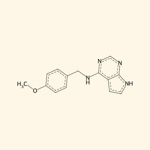 COc1ccc(CNc2ncnc3[nH]ccc23)cc1